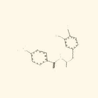 CC(=O)c1ccc(CC(NC(=O)c2ccc([N+](=O)[O-])cc2)C(=O)O)cc1N